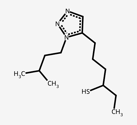 CCC(S)CCCc1cnnn1CCC(C)C